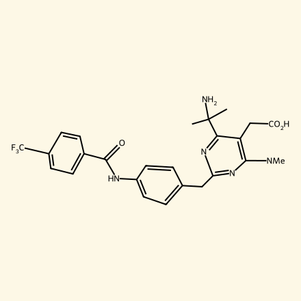 CNc1nc(Cc2ccc(NC(=O)c3ccc(C(F)(F)F)cc3)cc2)nc(C(C)(C)N)c1CC(=O)O